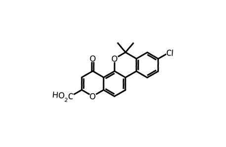 CC1(C)Oc2c(ccc3oc(C(=O)O)cc(=O)c23)-c2ccc(Cl)cc21